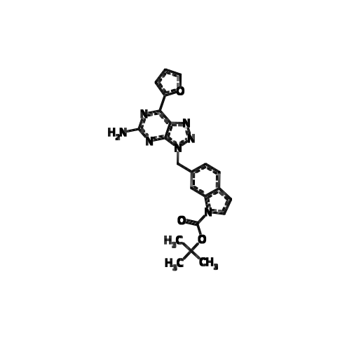 CC(C)(C)OC(=O)n1ccc2ccc(Cn3nnc4c(-c5ccco5)nc(N)nc43)cc21